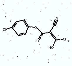 C/C(O)=C(\C#N)C(=O)Sc1ccc(Cl)cc1